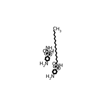 CCCCCCCCCCCCCCCCCC(=O)NS(=O)(=O)c1ccc(N)cc1.NC(=O)NS(=O)(=O)c1ccc(N)cc1